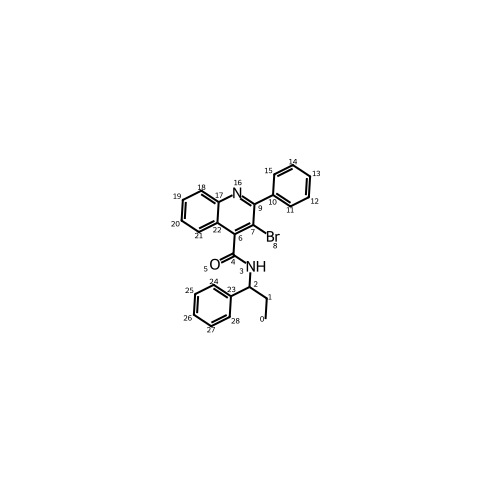 CCC(NC(=O)c1c(Br)c(-c2ccccc2)nc2ccccc12)c1ccccc1